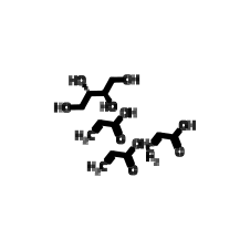 C=CC(=O)O.C=CC(=O)O.C=CC(=O)O.OC[C@@H](O)[C@@H](O)CO